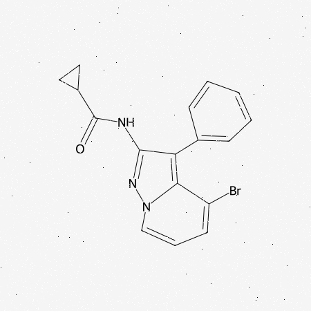 O=C(Nc1nn2cccc(Br)c2c1-c1ccccc1)C1CC1